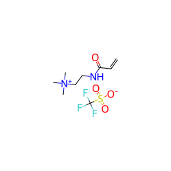 C=CC(=O)NCC[N+](C)(C)C.O=S(=O)([O-])C(F)(F)F